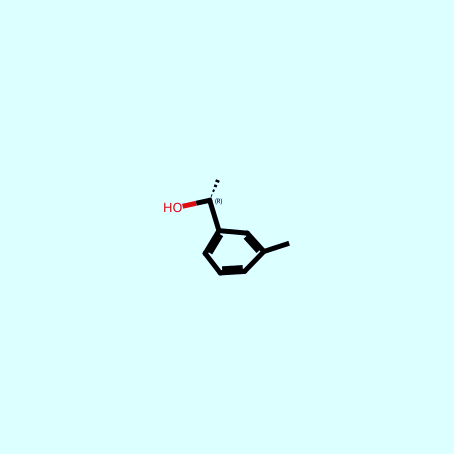 Cc1cccc([C@@H](C)O)c1